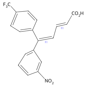 O=C(O)/C=C/C=C(\c1ccc(C(F)(F)F)cc1)c1cccc([N+](=O)[O-])c1